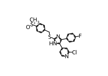 C[S+]([O-])c1ccc(CSc2nc(-c3ccc(F)cc3)c(-c3ccnc(Cl)c3)[nH]2)cc1